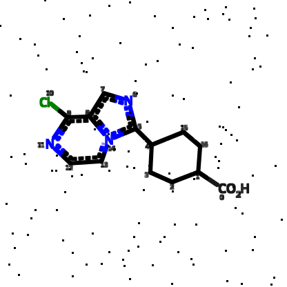 O=C(O)C1CCC(c2ncc3c(Cl)nccn23)CC1